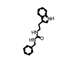 O=C(NCCc1c[nH]c2ccccc12)NCc1ccccc1